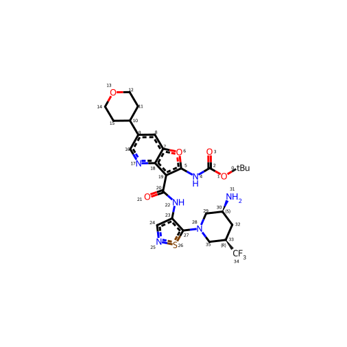 CC(C)(C)OC(=O)Nc1oc2cc(C3CCOCC3)cnc2c1C(=O)Nc1cnsc1N1C[C@@H](N)C[C@@H](C(F)(F)F)C1